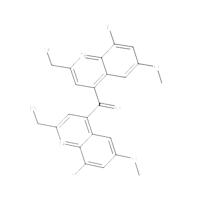 COc1cc(F)c2nc(CBr)cc(C(=O)c3cc(CBr)nc4c(F)cc(OC)cc34)c2c1